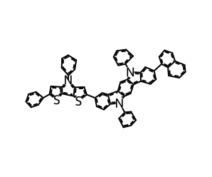 c1ccc(-c2cc3c(s2)c2sc(-c4ccc5c(c4)c4cc6c(cc4n5-c4ccccc4)c4ccc(-c5cccc7ccccc57)cc4n6-c4ccccc4)cc2n3-c2ccccc2)cc1